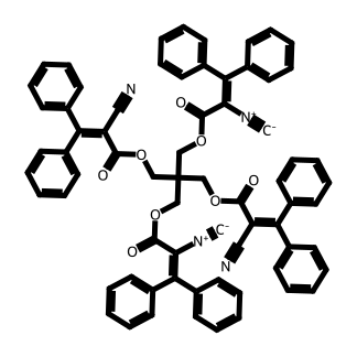 [C-]#[N+]C(C(=O)OCC(COC(=O)C(C#N)=C(c1ccccc1)c1ccccc1)(COC(=O)C(C#N)=C(c1ccccc1)c1ccccc1)COC(=O)C([N+]#[C-])=C(c1ccccc1)c1ccccc1)=C(c1ccccc1)c1ccccc1